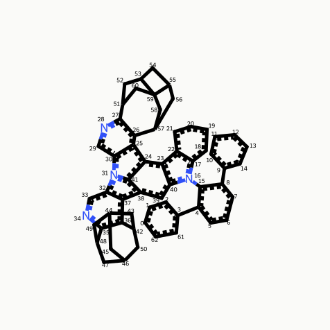 c1ccc(-c2cccc(-c3ccccc3)c2-n2c3ccccc3c3c4c5c6c(ncc5n5c7cnc8c(c7c(cc32)c45)C2CC3CC(CC8C3)C2)C2CC3CC4CC6CC34C2)cc1